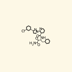 NC(=O)C(=O)C(Cc1ccccc1)NC(=O)c1cccnc1-n1ccc(-c2cccc(Cl)c2)n1